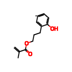 C=C(C)C(=O)OCCCc1c[c]ccc1O